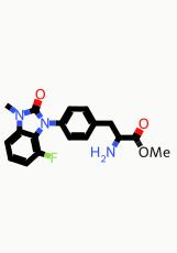 COC(=O)C(N)Cc1ccc(-n2c(=O)n(C)c3cccc(F)c32)cc1